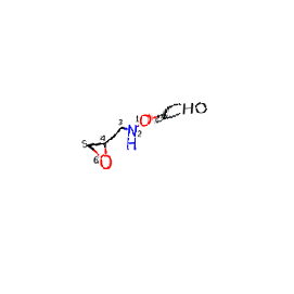 O=CONCC1CO1